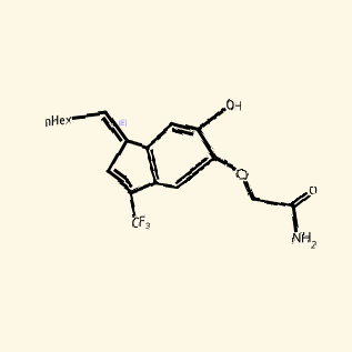 CCCCCC/C=C1\C=C(C(F)(F)F)c2cc(OCC(N)=O)c(O)cc21